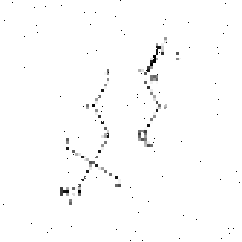 CC(C)(O)C1CC[C@@H](N)CO1